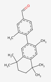 Cc1cc(C=O)ccc1-c1cc2c(cc1C)C(C)(C)CCC2(C)C